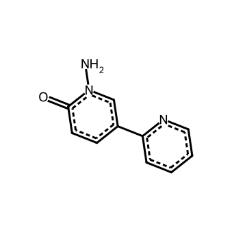 Nn1cc(-c2ccccn2)ccc1=O